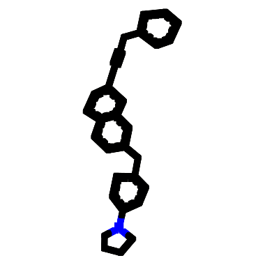 C(#Cc1ccc2ccc(Cc3ccc(N4CCCC4)cc3)cc2c1)Cc1ccccc1